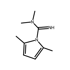 Cc1ccc(C)n1C(=N)N(C)C